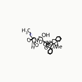 C/C=C/c1cn(C2CC(O)C(COP(=O)(N[C@@H](Cc3ccccc3)C(=O)OC)Oc3ccccc3)O2)c(=O)[nH]c1=O